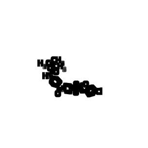 CC(C)(C)OC(=O)N[C@H]1CC[C@H](C(=O)N2CCN(S(=O)(=O)C3=Cc4ccc(Cl)cc4OC3)CC2)CC1